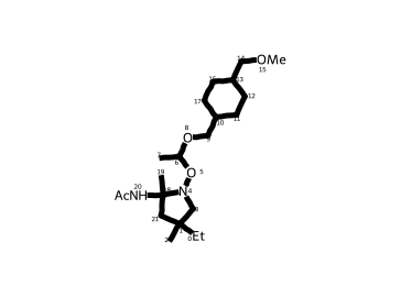 CCC1(C)CN(OC(C)OCC2CCC(COC)CC2)C(C)(NC(C)=O)C1